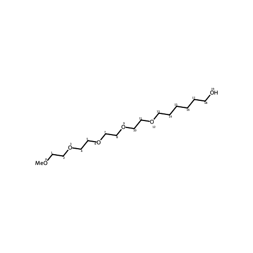 COCCOCCOCCOCCOCCCCCCO